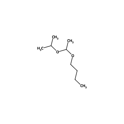 CCCCOC(C)OC(C)C